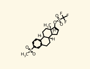 C[C@]12CC[C@@H]3c4ccc(S(C)(=O)=O)cc4CC[C@H]3[C@@H]1CC=C2OS(=O)(=O)C(F)(F)F